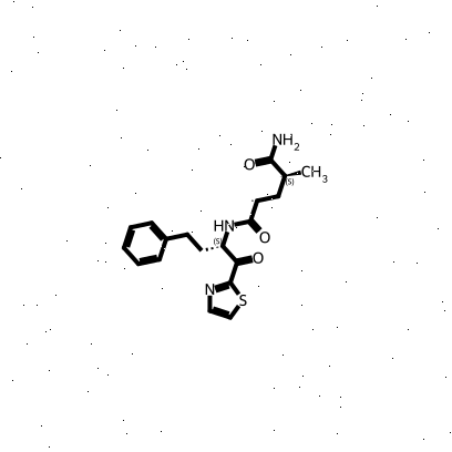 C[C@@H](C[CH]C(=O)N[C@@H](CCc1ccccc1)C(=O)c1nccs1)C(N)=O